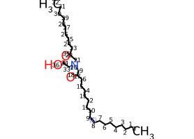 CCCCCCCC/C=C\CCCCCCCC(=O)CN(CCCCCCCCCCCC)CC(=O)O